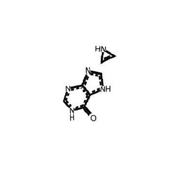 C1=CN1.O=c1[nH]cnc2nc[nH]c12